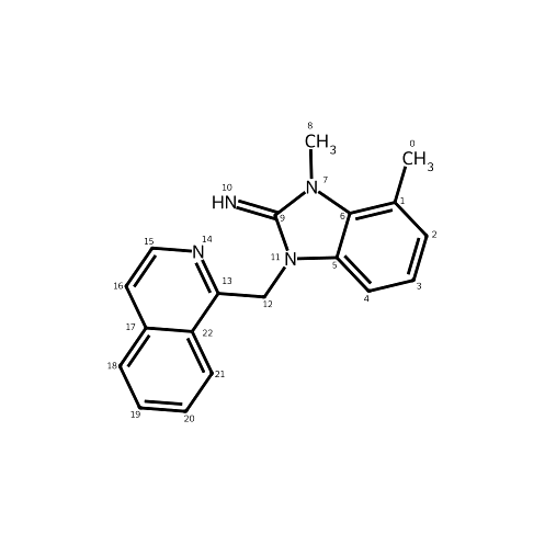 Cc1cccc2c1n(C)c(=N)n2Cc1nccc2ccccc12